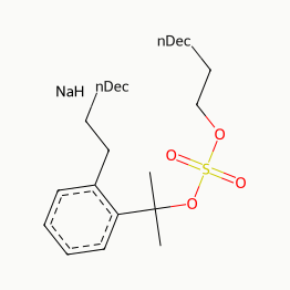 CCCCCCCCCCCCOS(=O)(=O)OC(C)(C)c1ccccc1CCCCCCCCCCCC.[NaH]